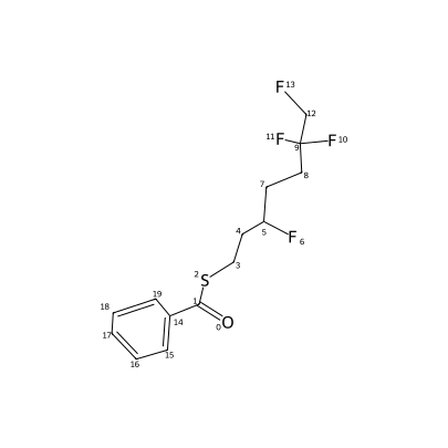 O=C(SCCC(F)CCC(F)(F)CF)c1ccccc1